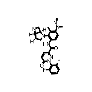 C=NN(C)c1ccc(NC(=O)c2ccc(=O)n(-c3c(F)cccc3F)n2)c(N2C[C@@H]3[C@H]4[C@H]2CN43)c1C